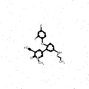 C#Cc1cc(-c2cc(NSCC)ccc2Oc2ccc(F)cc2F)cn(C)c1=O